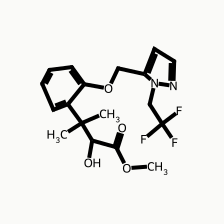 COC(=O)C(O)C(C)(C)c1ccccc1OCc1ccnn1CC(F)(F)F